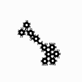 C(=C\c1ccc2c(c1)sc1cc(N(c3ccccc3)c3ccccc3)ccc12)/c1ccc(-c2cc(-c3ccccc3)c(-c3ccccc3)c(-c3ccccc3)c2-c2ccccc2)cc1